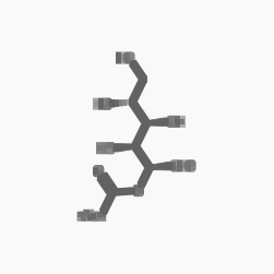 CCCCCCCCCC(=O)O[C@H](C=O)[C@@H](O)[C@H](O)[C@H](O)CO